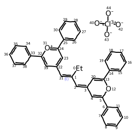 CC/C(C=C1C=C(c2ccccc2)OC(c2ccccc2)=C1)=C\c1cc(-c2ccccc2)[o+]c(-c2ccccc2)c1.[O-][Cl+3]([O-])([O-])[O-]